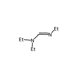 CC/N=[C]/N(CC)CC